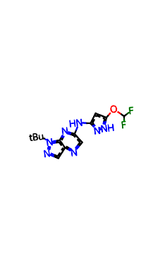 CC(C)(C)n1ncc2ncc(Nc3cc(OC(F)F)[nH]n3)nc21